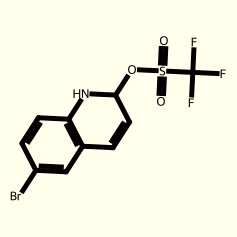 O=S(=O)(OC1C=Cc2cc(Br)ccc2N1)C(F)(F)F